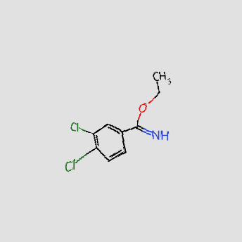 CCOC(=N)c1ccc(Cl)c(Cl)c1